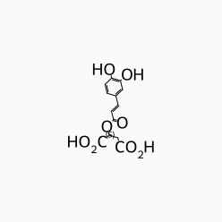 O=C(O)C[C@H](OC(=O)C=Cc1ccc(O)c(O)c1)C(=O)O